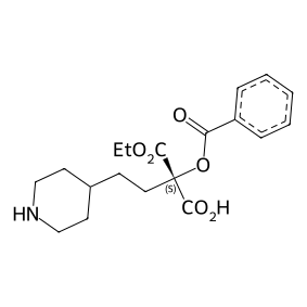 CCOC(=O)[C@@](CCC1CCNCC1)(OC(=O)c1ccccc1)C(=O)O